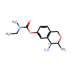 CCN(C)C(=O)Oc1ccc2c(c1)[C@H](N)C(C)OC2